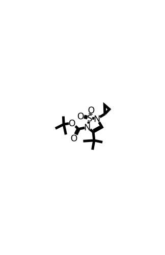 CC(C)(C)OC(=O)N1C(C(C)(C)C)=CN(C2CC2)S1(=O)=O